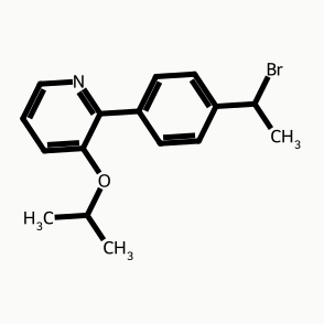 CC(C)Oc1cccnc1-c1ccc(C(C)Br)cc1